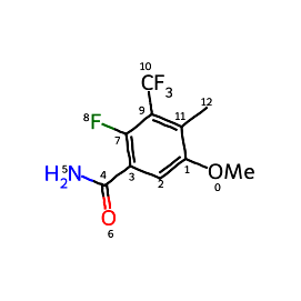 COc1cc(C(N)=O)c(F)c(C(F)(F)F)c1C